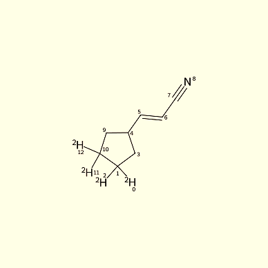 [2H]C1([2H])CC(C=CC#N)CC1([2H])[2H]